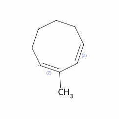 CC1=[C]/CCCC/C=C\1